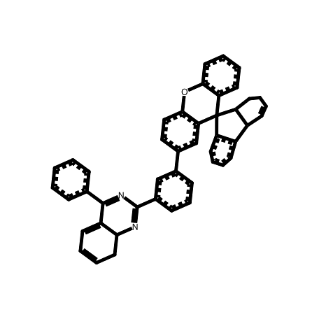 C1=CCC2N=C(c3cccc(-c4ccc5c(c4)C4(c6ccccc6O5)c5ccccc5C5C=CCCC54)c3)N=C(c3ccccc3)C2=C1